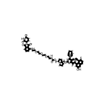 C#Cc1c(F)ccc2cc(O)cc(-c3ncc4c(N5CC6CCC(C5)N6)nc(OC[C@@]56CCCN5[C@H](COC(=O)NCCOCCOCCOCCNc5cccc7c5C(=O)N(C5CCC(=O)NC5=O)C7=O)CC6)nc4c3F)c12